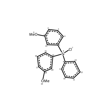 COc1cccc([Si](Cl)(c2ccccc2)c2cccc(OC)c2)c1